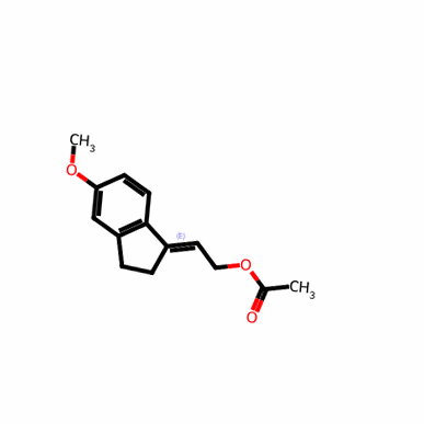 COc1ccc2c(c1)CC/C2=C\COC(C)=O